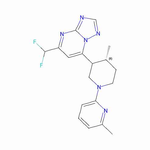 Cc1cccc(N2CC[C@@H](C)C(c3cc(C(F)F)nc4ncnn34)C2)n1